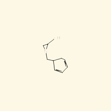 CC1CN1CC1C=CC=CC1